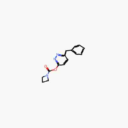 O=C(Oc1ccc(Cc2ccccc2)nn1)N1CCC1